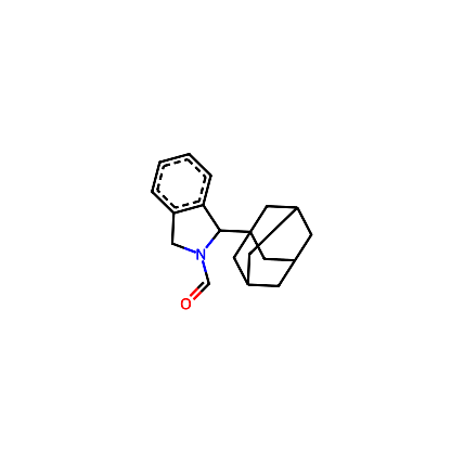 O=CN1Cc2ccccc2C1C12CC3CC(CC(C3)C1)C2